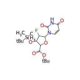 CC(C)(C)OC(=O)C1OC(n2ccc(=O)[nH]c2=O)C(F)C1O[Si](C)(C)C(C)(C)C